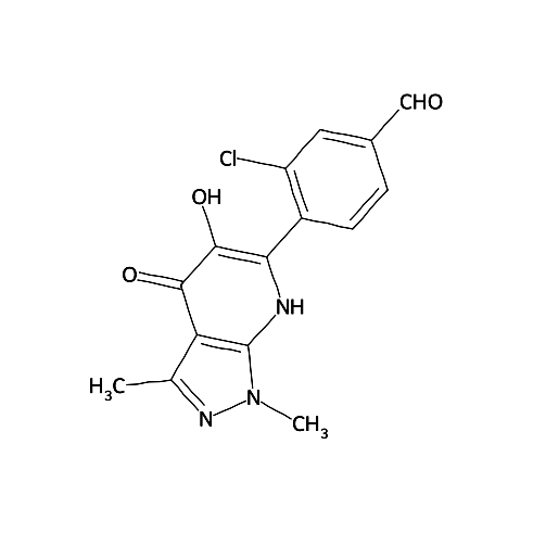 Cc1nn(C)c2[nH]c(-c3ccc(C=O)cc3Cl)c(O)c(=O)c12